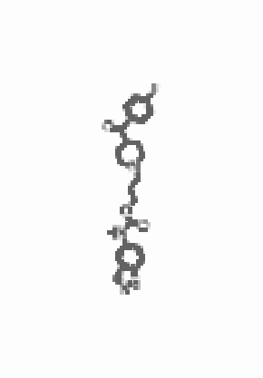 O=C(Nc1ccc2sncc2c1)OCCCN1CCC(C(=O)c2ccc(F)cc2)CC1